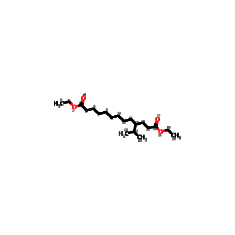 CCOC(=O)CCCCCCCCC(CCC(=O)OCC)C(C)C